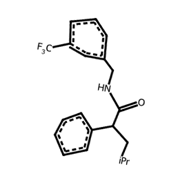 CC(C)CC(C(=O)NCc1cccc(C(F)(F)F)c1)c1ccccc1